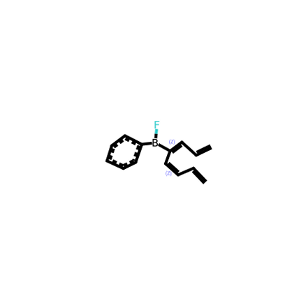 C=C/C=C\C(=C/C=C)B(F)c1ccccc1